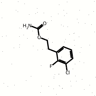 NC(=O)OC[CH]c1cccc(Cl)c1F